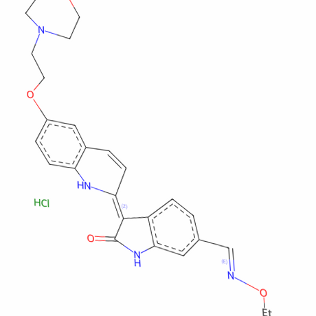 CCO/N=C/c1ccc2c(c1)NC(=O)/C2=C1/C=Cc2cc(OCCN3CCOCC3)ccc2N1.Cl